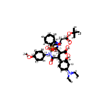 CCN(CC)c1ccc2c(C(=O)N(c3ccc(OC)cc3)S(=O)(=O)CCCC(=O)OC(C)(C)C)c(-c3nc4ccccc4s3)c(=O)oc2c1